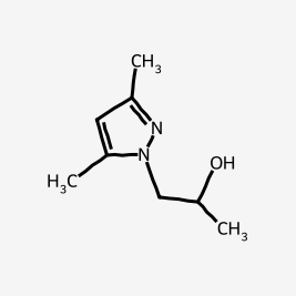 Cc1cc(C)n(CC(C)O)n1